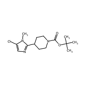 Cn1c(Cl)cnc1C1CCN(C(=O)OC(C)(C)C)CC1